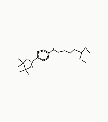 COC(CCCCSc1ccc(B2OC(C)(C)C(C)(C)O2)cc1)OC